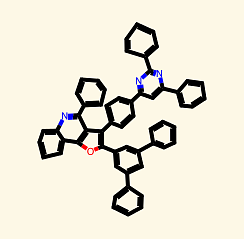 c1ccc(-c2cc(-c3ccccc3)cc(-c3oc4c(c(-c5ccccc5)nc5ccccc54)c3-c3ccc(-c4cc(-c5ccccc5)nc(-c5ccccc5)n4)cc3)c2)cc1